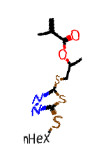 C=C(C)C(=O)OC(C)CSc1nnc(SCCCCCC)s1